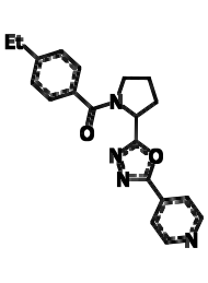 CCc1ccc(C(=O)N2CCCC2c2nnc(-c3ccncc3)o2)cc1